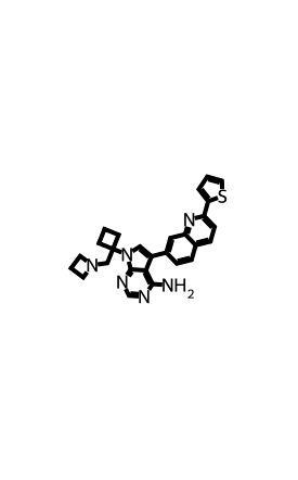 Nc1ncnc2c1c(-c1ccc3ccc(-c4cccs4)nc3c1)cn2C1(CN2CCC2)CCC1